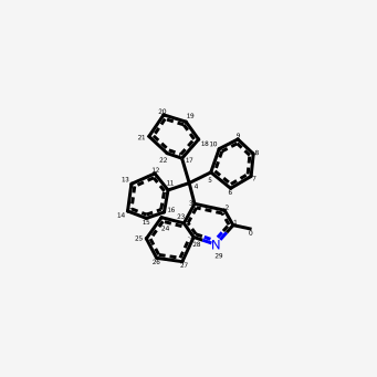 Cc1cc(C(c2ccccc2)(c2ccccc2)c2ccccc2)c2ccccc2n1